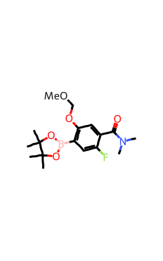 COCOc1cc(C(=O)N(C)C)c(F)cc1B1OC(C)(C)C(C)(C)O1